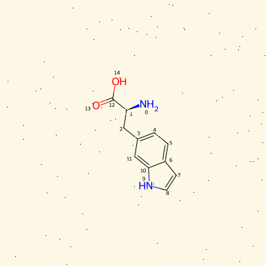 N[C@@H](Cc1ccc2cc[nH]c2c1)C(=O)O